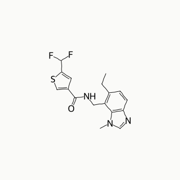 CCc1ccc2ncn(C)c2c1CNC(=O)c1csc(C(F)F)c1